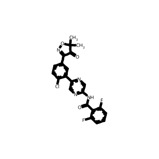 CC1(C)ON=C(c2ccc(Cl)c(-c3cnc(NC(=O)c4c(F)cccc4F)cn3)c2)C1=O